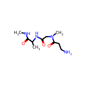 CNC(=O)C(C)NC(=O)CN(C)C(=O)CCN